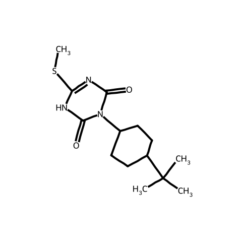 CSc1nc(=O)n(C2CCC(C(C)(C)C)CC2)c(=O)[nH]1